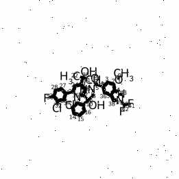 COc1cc(C(=O)NC[C@@](O)(c2ccccc2)c2cc(C(C)(C)O)cc(-c3ccc(F)c(Cl)c3Cl)n2)cc2cn(C(F)F)nc12